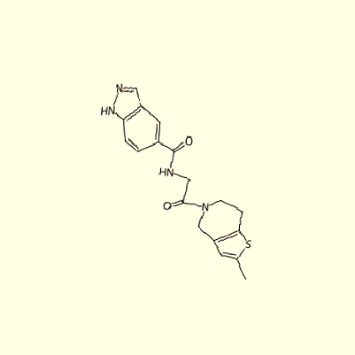 Cc1cc2c(s1)CCN(C(=O)CNC(=O)c1ccc3[nH]ncc3c1)C2